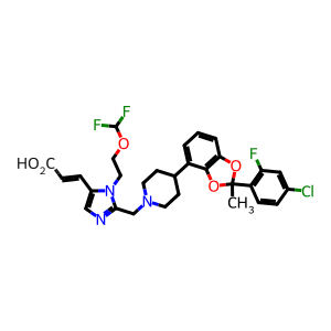 CC1(c2ccc(Cl)cc2F)Oc2cccc(C3CCN(Cc4ncc(/C=C/C(=O)O)n4CCOC(F)F)CC3)c2O1